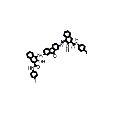 O=C1c2cc(/N=N/c3c(O)c(C(=O)Nc4ccc(I)cc4)cc4ccccc34)ccc2-c2ccc(/N=N/c3c(O)c(C(=O)Nc4ccc(I)cc4)cc4ccccc34)cc21